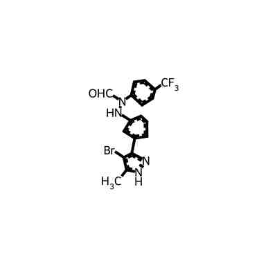 Cc1[nH]nc(-c2cccc(NN(C=O)c3ccc(C(F)(F)F)cc3)c2)c1Br